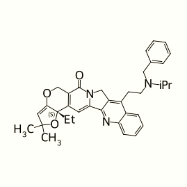 CC[C@@]12OC(C)(C)C=C1OCc1c2cc2n(c1=O)Cc1c-2nc2ccccc2c1CCN(Cc1ccccc1)C(C)C